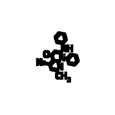 Cc1cc(C#N)c2c(=O)cc(Nc3ccccc3)n(-c3ccccc3)c2n1